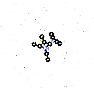 c1ccc(-c2ccc(-c3nc(-c4ccc(-c5ccccc5)cc4)nc(-c4ccc(-n5c6cc7ccccc7cc6c6cc7ccccc7cc65)cc4-c4ccc5sc6ccccc6c5c4)n3)cc2)cc1